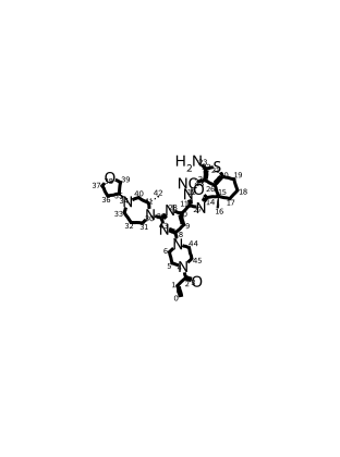 C=CC(=O)N1CCN(c2cc(-c3noc([C@@]4(C)CCCc5sc(N)c(C#N)c54)n3)nc(N3CCCN([C@H]4CCOC4)C[C@@H]3C)n2)CC1